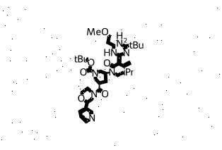 C=C/C(C(=O)N(CC(C)C)[C@H]1C[C@@H](C(=O)N2CCOC(c3cccnc3)C2)CN(C(=O)OC(C)(C)C)C1)=C(\N=C(/N)C(C)(C)C)NCCCOC